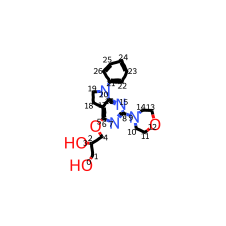 OCC(O)COc1nc(N2CCOCC2)nc2c1CCN2c1ccccc1